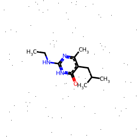 CCNc1nc(C)c(CC(C)C)c(=O)[nH]1